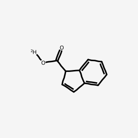 [2H]OC(=O)C1C=Cc2ccccc21